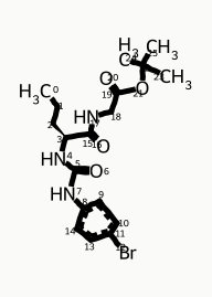 CCC[C@H](NC(=O)Nc1ccc(Br)cc1)C(=O)NCC(=O)OC(C)(C)C